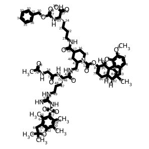 COc1ccc2c3c1O[C@H]1C(OC(=O)N4CCC(C(=O)NCCCC[C@H](NC(=O)OCc5ccccc5)C(=O)O)CC4CNC(=O)[C@H](CCCNC(=N)NS(=O)(=O)c4c(C)c(C)c5c(c4C)CC(C)(C)O5)NC(=O)CNC(C)=O)=CC[C@H]4[C@@H](C2)C(C)CC[C@]314